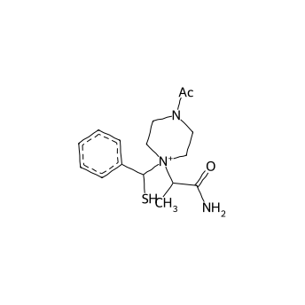 CC(=O)N1CC[N+](C(C)C(N)=O)(C(S)c2ccccc2)CC1